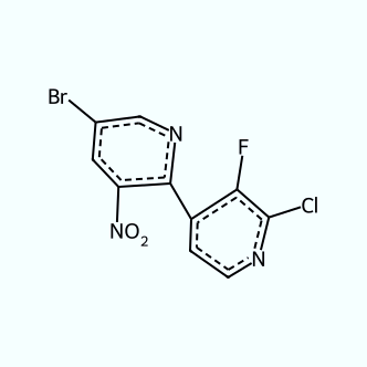 O=[N+]([O-])c1cc(Br)cnc1-c1ccnc(Cl)c1F